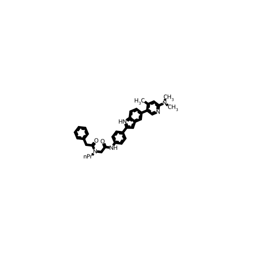 CCCN(CC(=O)Nc1ccc(-c2cc3cc(-c4cnc(N(C)C)cc4C)ccc3[nH]2)cc1)C(=O)Cc1ccccc1